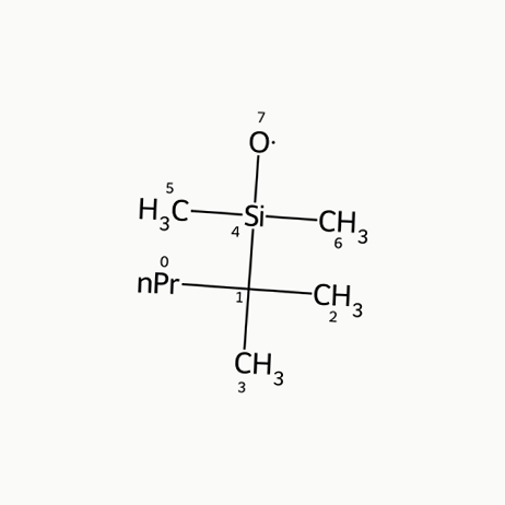 CCCC(C)(C)[Si](C)(C)[O]